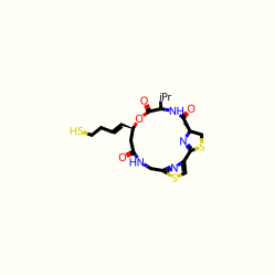 CC(C)C1NC(=O)[C@]2(C)CSC(=N2)c2csc(n2)CNC(=O)C[C@@H](/C=C/CCS)OC1=O